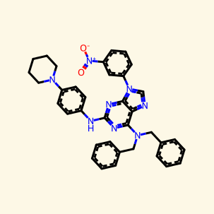 O=[N+]([O-])c1cccc(-n2cnc3c(N(Cc4ccccc4)Cc4ccccc4)nc(Nc4ccc(N5CCCCC5)cc4)nc32)c1